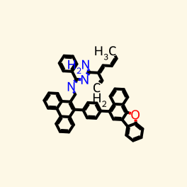 C=CC(=C\C=C/C)/C(N)=N/C(=N\Cc1c(-c2ccc(-c3cc4c5ccccc5oc4c4ccccc34)cc2)c2ccccc2c2ccccc12)c1ccccc1